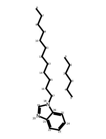 CCCCCC.CCCCCCCCCCCCn1cnc2ccccc21